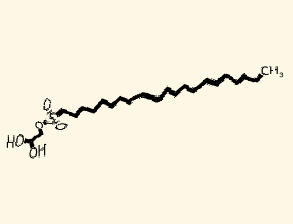 CCCCCCCCCCCCCCCCCCCCCS(=O)(=O)OCC(O)O